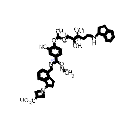 C=NO/C(=N\Cc1cccc2c1CCC2N1CC(C(=O)O)C1)c1ccc(OC(C)OCC(O)[C@@H](O)CCNC2CCc3ccccc32)c(C#N)c1